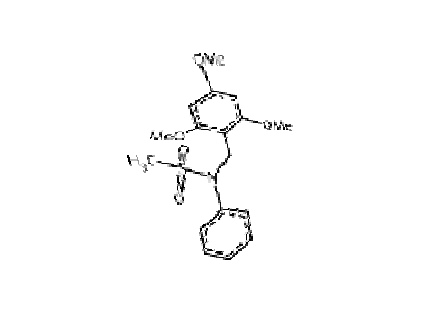 COc1cc(OC)c(CN(c2ccccc2)S(C)(=O)=O)c(OC)c1